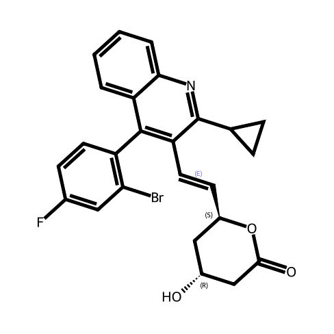 O=C1C[C@H](O)C[C@@H](/C=C/c2c(C3CC3)nc3ccccc3c2-c2ccc(F)cc2Br)O1